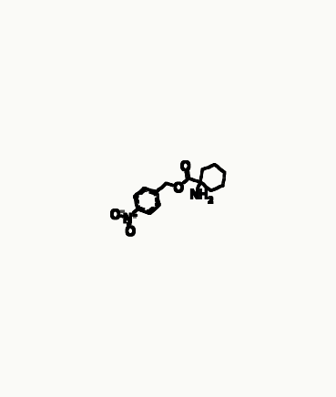 NC1(C(=O)OCc2ccc([N+](=O)[O-])cc2)CCCCC1